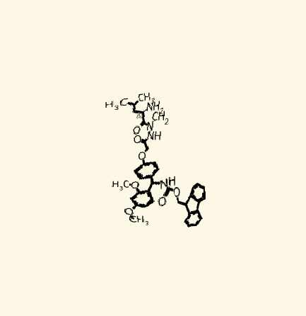 [CH2]N(NC(=O)COc1ccc(C(NC(=O)OCC2c3ccccc3-c3ccccc32)c2ccc(OC)cc2OC)cc1)C(=O)[C@@H](N)CC(C)C